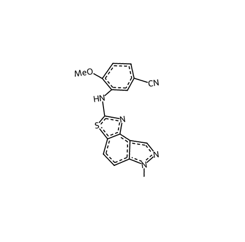 COc1ccc(C#N)cc1Nc1nc2c(ccc3c2cnn3C)s1